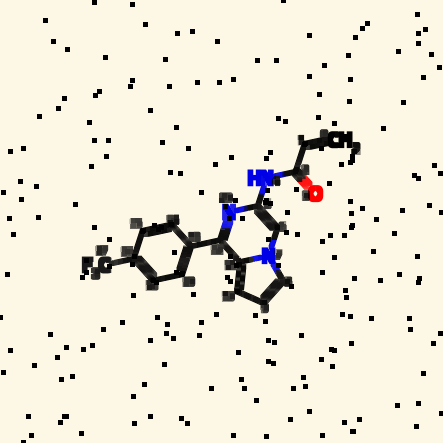 C=CC(=O)Nc1cn2cccc2c(-c2ccc(C(F)(F)F)cc2)n1